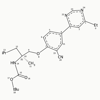 CCc1cc(-c2ccc(OC[C@](C)(CC(C)C)NC(=O)OC(C)(C)C)c(C#N)c2)ncn1